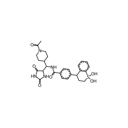 CC(=O)N1CCC(C(NC(=O)c2ccc(C3CCS(O)(O)c4ccccc43)cc2)C2NC(=O)NC2=O)CC1